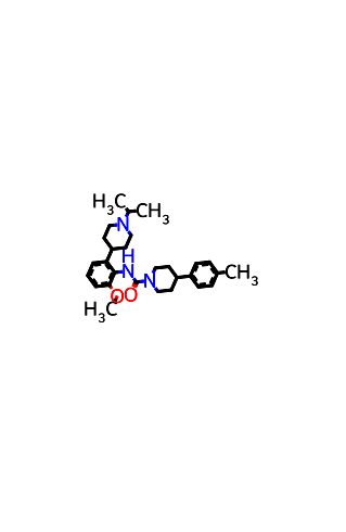 COc1cccc(C2CCN(C(C)C)CC2)c1NC(=O)N1CCC(c2ccc(C)cc2)CC1